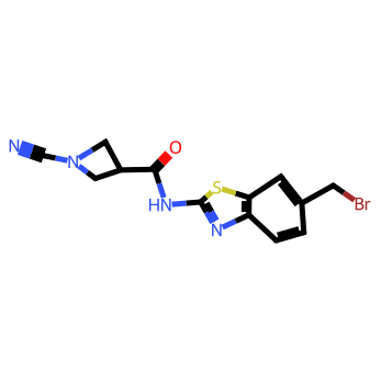 N#CN1CC(C(=O)Nc2nc3ccc(CBr)cc3s2)C1